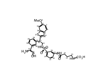 COc1ccc2nc([C@@H](CNS(=O)(=O)c3cccc(NC(=O)CCCNC(=O)O)c3)c3cccc(C(N)=NO)c3)sc2c1